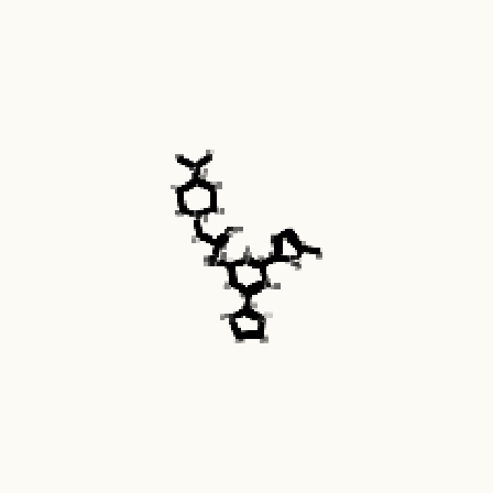 Cc1ccc(-c2nc(NC(=O)CN3CCC(N(C)C)CC3)cc(-c3nccs3)n2)o1